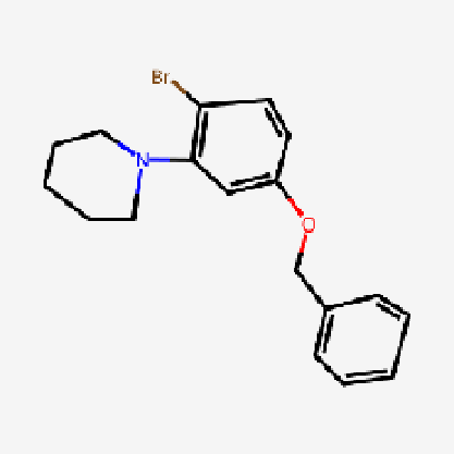 Brc1ccc(OCc2ccccc2)cc1N1CCCCC1